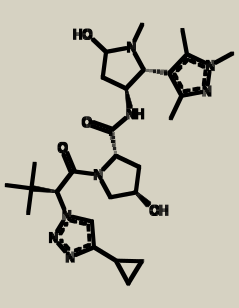 Cc1nn(C)c(C)c1[C@@H]1[C@@H](NC(=O)[C@@H]2C[C@@H](O)CN2C(=O)[C@@H](n2cc(C3CC3)nn2)C(C)(C)C)CC(O)N1C